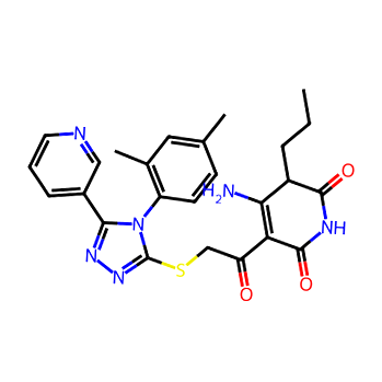 CCCC1C(=O)NC(=O)C(C(=O)CSc2nnc(-c3cccnc3)n2-c2ccc(C)cc2C)=C1N